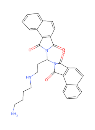 NCCCCNCCC(N1C(=O)c2ccc3ccccc3c2C1=O)N1C(=O)c2ccc3ccccc3c2C1=O